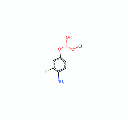 CCOB(O)Oc1ccc(N)c(F)c1